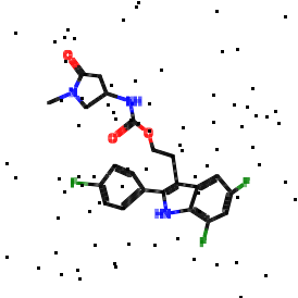 CN1CC(NC(=O)OCCc2c(-c3ccc(F)cc3)[nH]c3c(F)cc(F)cc23)CC1=O